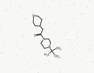 CC(C)(C)N1CCN(C(=O)CC2CCOCC2)CC1